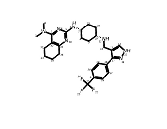 CN(C)c1nc(N[C@H]2CC[C@@H](NCc3c[nH]nc3-c3ccc(C(F)(F)F)cc3)CC2)nc2c1CCCC2